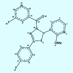 COc1ncccc1C1SC(c2ccc(F)cc2)=NN1C(=O)c1cncc(F)c1